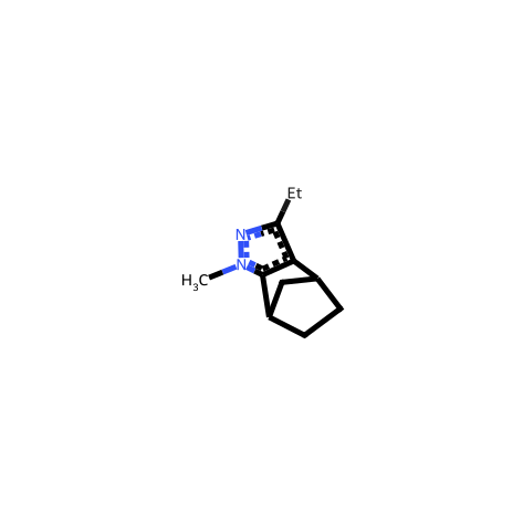 CCc1nn(C)c2c1C1CCC2C1